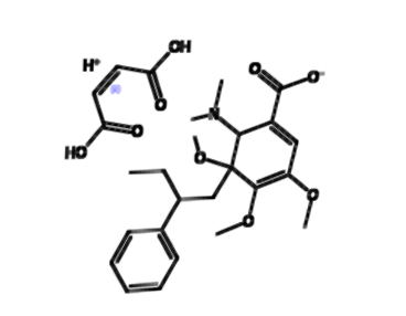 CCC(CC1(OC)C(OC)=C(OC)C=C(C(=O)[O-])C1N(C)C)c1ccccc1.O=C(O)/C=C\C(=O)O.[H+]